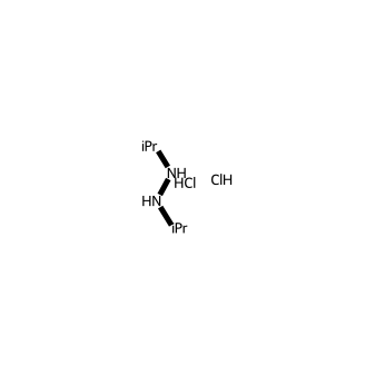 CC(C)NNC(C)C.Cl.Cl